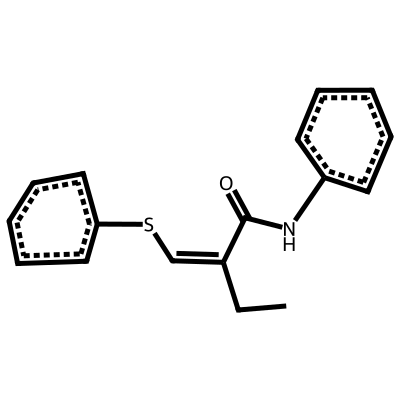 CCC(=CSc1ccccc1)C(=O)Nc1ccccc1